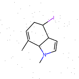 CC1=CCC(I)C2C=CN(C)C12